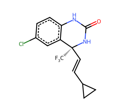 O=C1Nc2ccc(Cl)cc2[C@@](C=CC2CC2)(C(F)(F)F)N1